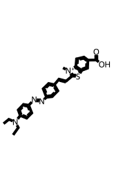 CCN(CC)c1ccc(/N=N/c2ccc(/C=C/c3sc4cc(C(=O)O)ccc4[n+]3C)cc2)cc1